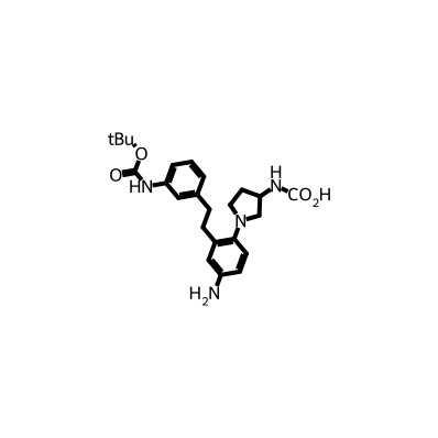 CC(C)(C)OC(=O)Nc1cccc(CCc2cc(N)ccc2N2CCC(NC(=O)O)C2)c1